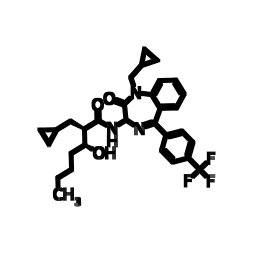 CCCC[C@H](O)[C@@H](CC1CC1)C(=O)NC1N=C(c2ccc(C(F)(F)F)cc2)c2ccccc2N(CC2CC2)C1=O